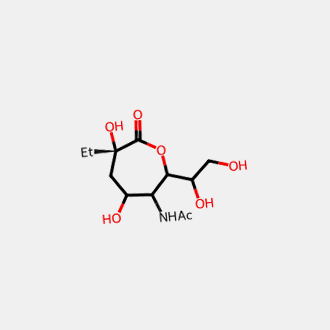 CC[C@]1(O)CC(O)C(NC(C)=O)C(C(O)CO)OC1=O